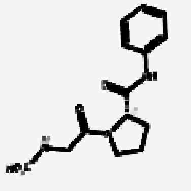 O=C(O)NCC(=O)N1CCC[C@H]1C(=O)Nc1ccccc1